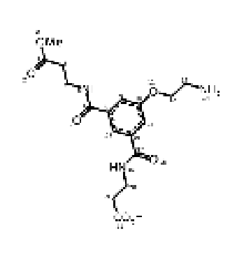 COC(=O)CCNC(=O)c1cc(OCCN)cc(C(=O)NCCC(=O)O)c1